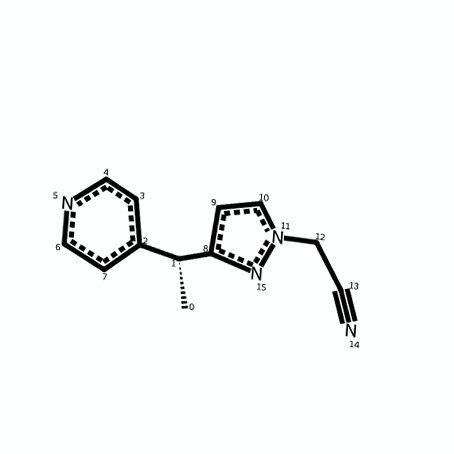 C[C@H](c1ccncc1)c1ccn(CC#N)n1